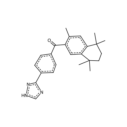 Cc1cc2c(cc1C(=O)c1ccc(-c3nc[nH]n3)cc1)C(C)(C)CCC2(C)C